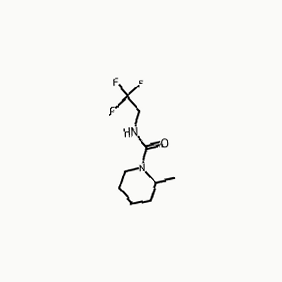 CC1CCCCN1C(=O)NCC(F)(F)F